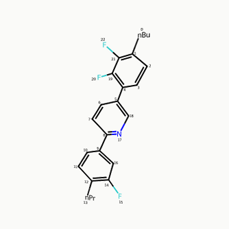 CCCCc1ccc(-c2ccc(-c3ccc(CCC)c(F)c3)nc2)c(F)c1F